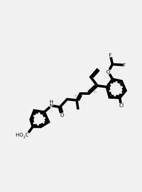 C=C/C(=C\C=C(/C)CC(=O)Nc1ccc(C(=O)O)cc1)c1cc(Cl)ccc1OC(F)F